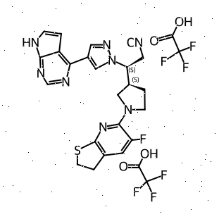 N#CC[C@@H]([C@H]1CCN(c2nc3c(cc2F)CCS3)C1)n1cc(-c2ncnc3[nH]ccc23)cn1.O=C(O)C(F)(F)F.O=C(O)C(F)(F)F